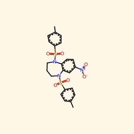 Cc1ccc(S(=O)(=O)N2CCCN(S(=O)(=O)c3ccc(C)cc3)c3cc([N+](=O)[O-])ccc32)cc1